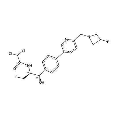 O=C(N[C@H](CF)[C@H](O)c1ccc(-c2ccc(CN3CC(F)C3)nc2)cc1)C(Cl)Cl